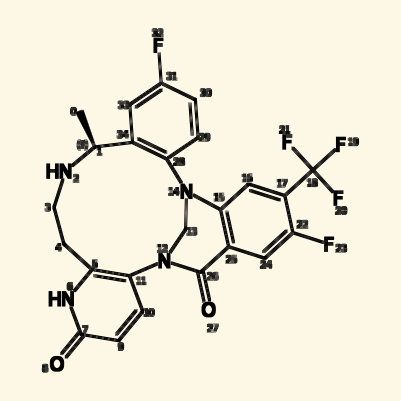 C[C@@H]1NCCc2[nH]c(=O)ccc2N2CN(c3cc(C(F)(F)F)c(F)cc3C2=O)c2ccc(F)cc21